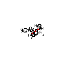 N[C@H](Cc1cc(F)c(F)cc1F)[C@@H]1C[C@H]2CC[C@@H](C1)N2C(=O)CCS(=O)(=O)CC(=O)N1CCS(=O)(=O)CC1